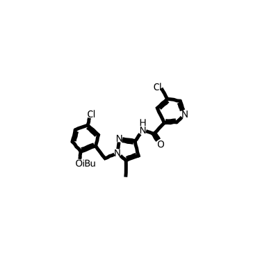 Cc1cc(NC(=O)c2cncc(Cl)c2)nn1Cc1cc(Cl)ccc1OCC(C)C